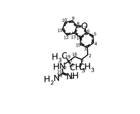 CC(Cc1ccc2oc3ccccc3c2c1)CC(C)(C)NC(=N)N